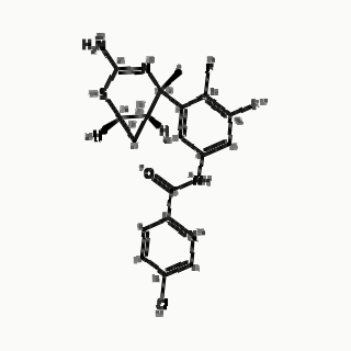 C[C@]1(c2cc(NC(=O)c3ccc(Cl)cn3)cc(F)c2F)N=C(N)S[C@H]2C[C@H]21